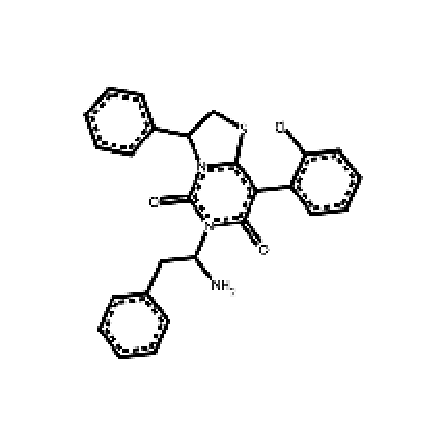 NC(Cc1ccccc1)n1c(=O)c(-c2ccccc2Cl)c2n(c1=O)C(c1ccccc1)CS2